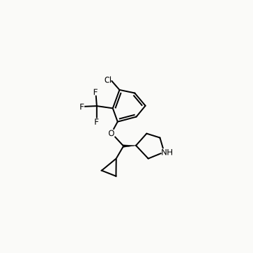 FC(F)(F)c1c(Cl)cccc1OC(C1CC1)[C@H]1CCNC1